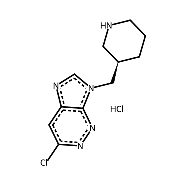 Cl.Clc1cc2ncn(C[C@@H]3CCCNC3)c2nn1